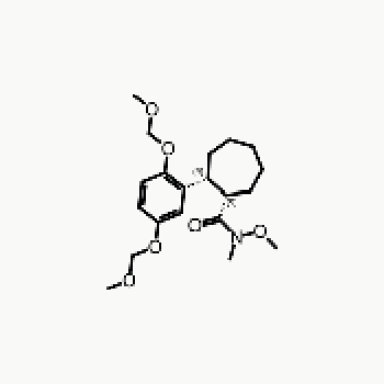 COCOc1ccc(OCOC)c([C@@H]2CCCCC[C@@H]2C(=O)N(C)OC)c1